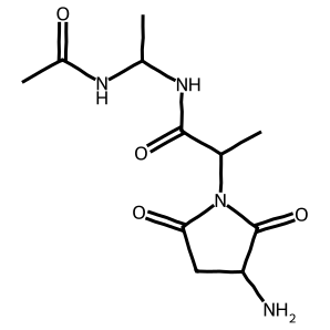 CC(=O)NC(C)NC(=O)C(C)N1C(=O)CC(N)C1=O